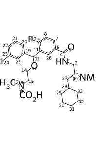 CN[C@@H](CNC(=O)c1ccc(F)c(C(OCCN(C)C(=O)O)c2cccc(Cl)c2)c1)CC1CCCCC1